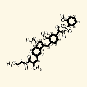 CCCNC(=O)C(C)=Cc1ccc2c(c1)c(Cc1ccc(C(=O)NS(=O)(=O)c3ccccc3C)cc1OC)cn2C